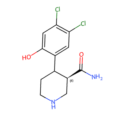 NC(=O)[C@H]1CNCCC1c1cc(Cl)c(Cl)cc1O